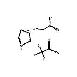 CCN(CC)CC[C@H]1CCNC1.O=C(O)C(F)(F)F